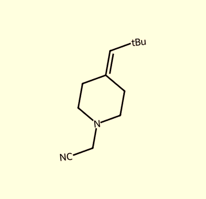 CC(C)(C)C=C1CCN(CC#N)CC1